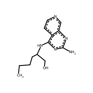 CCCCC(CO)Nc1nc(N)nc2cnccc12